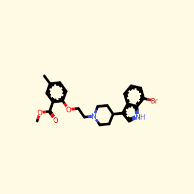 COC(=O)c1cc(C)ccc1OCCN1CCC(c2c[nH]c3c(Br)cccc23)CC1